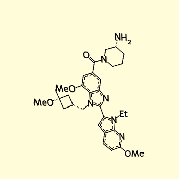 CCn1c(-c2nc3cc(C(=O)N4CCC[C@@H](N)C4)cc(OC)c3n2C[C@H]2C[C@@](C)(OC)C2)cc2ccc(OC)nc21